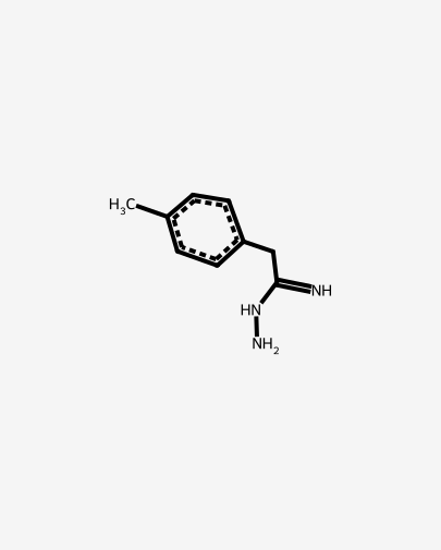 Cc1ccc(CC(=N)NN)cc1